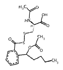 CCCCC(OC(C)=O)c1ccccc1C(=O)SSC[C@H](NC(C)=O)C(=O)O